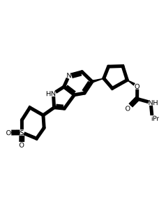 CC(C)NC(=O)O[C@@H]1CC[C@H](c2cnc3[nH]c(C4CCS(=O)(=O)CC4)cc3c2)C1